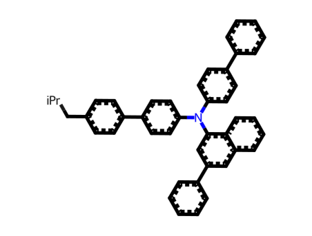 CC(C)Cc1ccc(-c2ccc(N(c3ccc(-c4ccccc4)cc3)c3cc(-c4ccccc4)cc4ccccc34)cc2)cc1